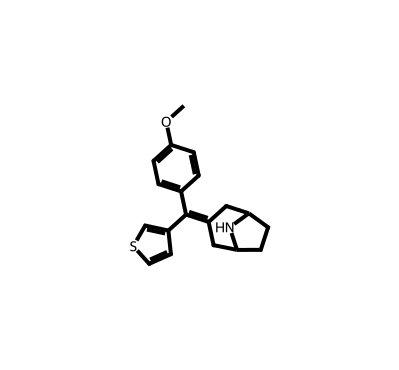 COc1ccc(C(=C2CC3CCC(C2)N3)c2ccsc2)cc1